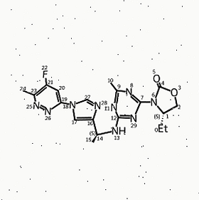 CC[C@H]1COC(=O)N1c1nc(C)nc(N[C@@H](C)c2cn(-c3cc(F)c(C)nn3)cn2)n1